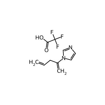 C=CCC(=C)n1ccnc1.O=C(O)C(F)(F)F